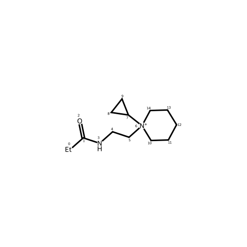 CCC(=O)NCC[N+]1(C2CC2)CCCCC1